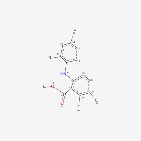 COC(=O)c1c(Nc2ccc(F)cc2C)ccc(Cl)c1F